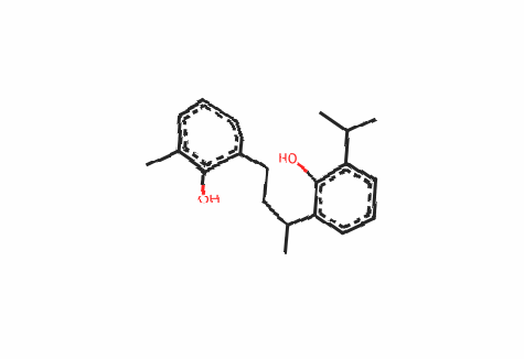 Cc1cccc(CCC(C)c2cccc(C(C)C)c2O)c1O